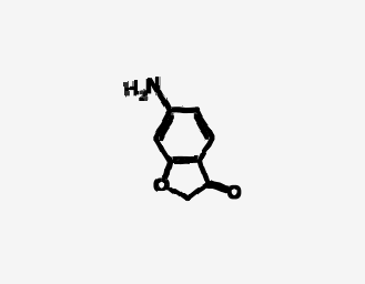 Nc1ccc2c(c1)OCC2=O